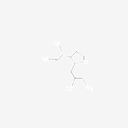 CCC(C)CC1NCCC1C(C)CC